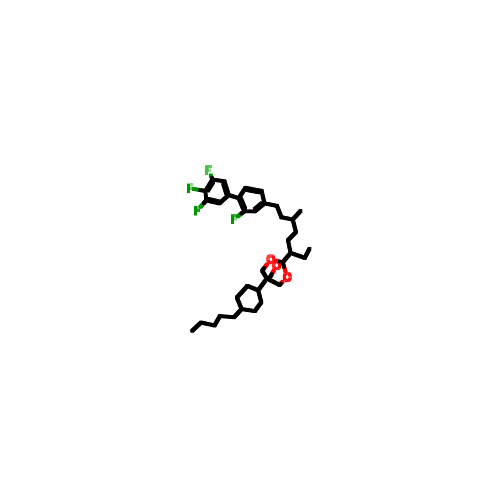 CCCCCC1CCC(C23COC(C(CC)CCC(C)CCc4ccc(-c5cc(F)c(F)c(F)c5)c(F)c4)(OC2)OC3)CC1